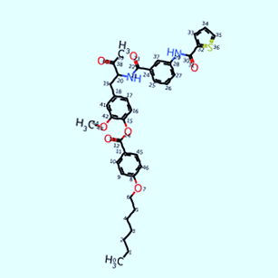 CCCCCCCOc1ccc(C(=O)Oc2ccc(CC(NC(=O)c3cccc(NC(=O)c4cccs4)c3)C(C)=O)cc2OC)cc1